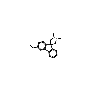 CCc1ccc2c(c1)-c1ccccc1C2(COC)COC